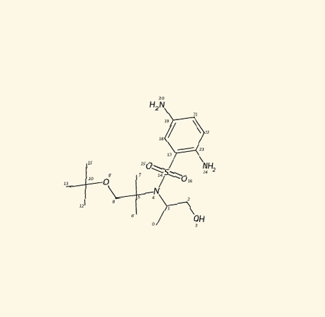 CC(CO)N(C(C)(C)COC(C)(C)C)S(=O)(=O)c1cc(N)ccc1N